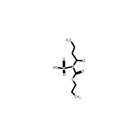 CCCSC(=O)N(C(Cl)CCC)S(=O)(=O)O